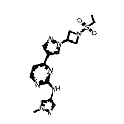 CCS(=O)(=O)N1CC(n2cc(-c3ccnc(Nc4cnn(C)c4)n3)cn2)C1